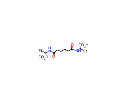 CCC(NC(=O)CCCCC(=O)NC(CC)C(=O)O)C(=O)O